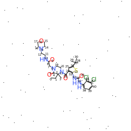 CCC1(C)C(=O)N(CC(=O)NCCN2CCOCC2)CCN1C(=O)c1cc(C(C)(C)C)sc1NC(=O)Nc1cccc(Cl)c1Cl